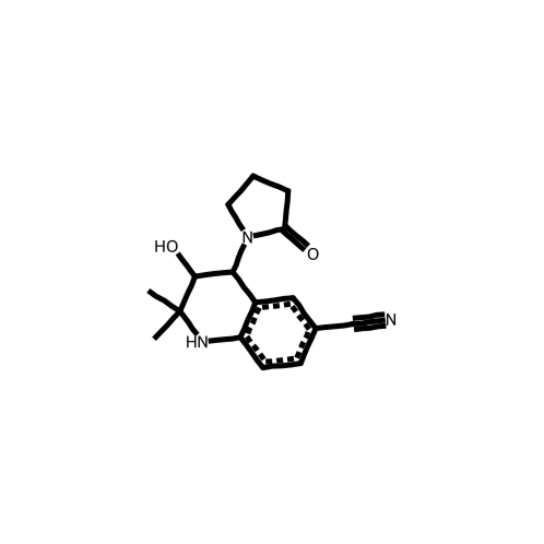 CC1(C)Nc2ccc(C#N)cc2C(N2CCCC2=O)C1O